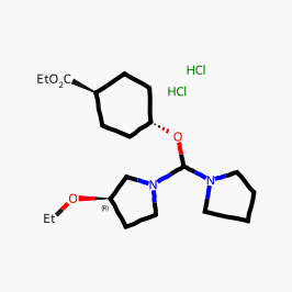 CCOC(=O)[C@H]1CC[C@H](OC(N2CCCC2)N2CC[C@@H](OCC)C2)CC1.Cl.Cl